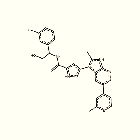 Cc1cc(-c2cnc3[nH]c(C)c(-c4c[nH]c(C(=O)NC(CO)c5cccc(Cl)c5)c4)c3c2)ccn1